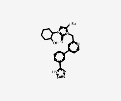 CCCCc1cn(C2CCCCC2O)c(=O)n1Cc1cc(-c2cccc(-c3nnn[nH]3)c2)ccn1